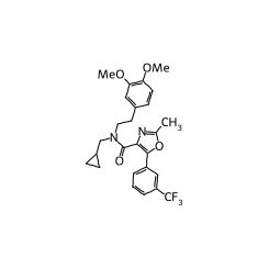 COc1ccc(CCN(CC2CC2)C(=O)c2nc(C)oc2-c2cccc(C(F)(F)F)c2)cc1OC